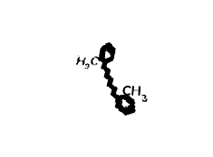 Cc1ccccc1CCCCCCCc1ccccc1C